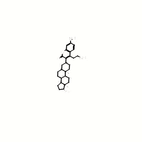 C[C@]12CCC(c3c(CCN)c4ccc(N)cc4oc3=O)CC1CCC1C2CC[C@@]2(C)C1CC[C@@H]2O